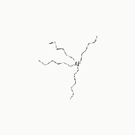 CCCCC[CH2][Al-]([CH2]CCCCC)([CH2]CCCCC)[CH2]CCCCC